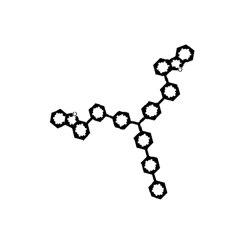 c1ccc(-c2ccc(-c3ccc(C(c4ccc(-c5cccc(-c6cccc7c6oc6ccccc67)c5)cc4)c4ccc(-c5cccc(-c6cccc7c6oc6ccccc67)c5)cc4)cc3)cc2)cc1